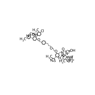 Cc1cc(-c2ccc(OCc3ccc(CCCOCCOc4cc(-c5scnc5C)ccc4CNC(=O)[C@@H]4C[C@@H](O)CN4C(=O)[C@@H](NC(=O)C4(F)CC4)C(C)(C)C)cc3)c(-c3ccc(Cl)c(C)c3)c2O)n(C)n1